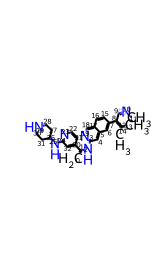 C=C(Nc1cc2cc(C(/C=N\C)=C(C)C)ccc2cn1)c1ccnc(NC2CCNCC2)c1